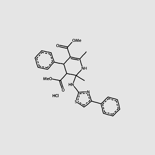 COC(=O)C1=C(C)NC(C)(Nc2nc(-c3ccccc3)cs2)C(C(=O)OC)C1c1ccccc1.Cl